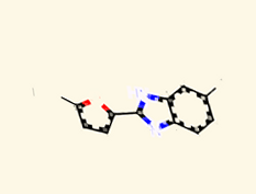 CC(=O)c1ccc2nc(-c3ccc(C)o3)[nH]c2c1